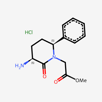 COC(=O)CN1C(=O)[C@@H](N)CC[C@H]1c1ccccc1.Cl